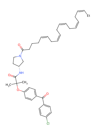 CC/C=C\C/C=C\C/C=C\C/C=C\C/C=C\CCCC(=O)N1CC[C@@H](NC(=O)C(C)(C)Oc2ccc(C(=O)c3ccc(Cl)cc3)cc2)C1